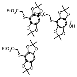 CCOC(=O)CSc1c2c(cc3c1OC(C)(C)O3)OC(C)(C)O2.CCOC(=O)CSc1c2c(cc3c1OC(C)(C)O3)OC(C)(C)O2.CCOC(=O)CSc1c2c(cc3c1OC(C)(C)O3)OC(C)(C)O2.CO